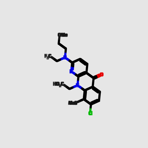 COCCN(CC(F)(F)F)c1ccc2c(=O)c3ccc(Cl)c(SC)c3n(CC(=O)O)c2n1